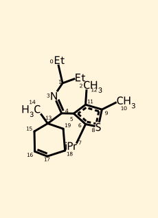 CCC(CC)/N=C(\c1c(C(C)C)sc(C)c1C)C1(C)CC=CCC1